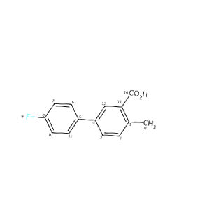 Cc1ccc(-c2ccc(F)cc2)cc1C(=O)O